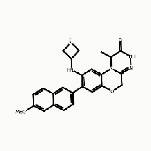 COc1ccc2cc(-c3cc4c(cc3NC3CNC3)N3C(=NNC(=O)C3C)CO4)ccc2c1